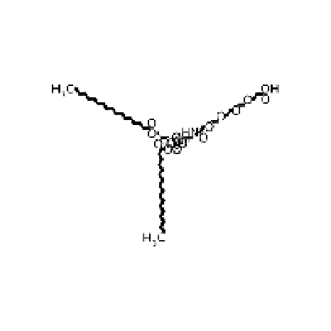 CCCCCCCCCCCCCCCCCC(=O)OC[C@H](COP(=O)(O)OCCNC(=O)COCCOCCOCCOCCC(=O)O)OC(=O)CCCCCCCCCCCCCCCCC